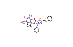 CCN1C(=O)C(C#N)=C(C)/C(=C/c2cc3oc(-c4cc5ccccc5s4)nc3n2-c2ccccc2)C1=O